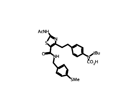 CSc1ccc(CNC(=O)c2sc(NC(C)=O)nc2CCc2ccc(N(C(=O)O)C(C)(C)C)cc2)cc1